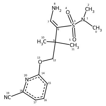 CN(C)S(=O)(=O)C(=CN)C(C)(C)COc1cccc(C#N)n1